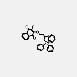 CC1=C(OCCC(C)C[PH](c2ccccc2)(c2ccccc2)c2ccccc2)C(=O)c2ccccc2C1=O